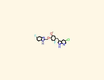 COc1cc(Cc2c[nH]c3ncc(Cl)cc23)c(F)cc1OCc1nc2cc(F)ccc2[nH]1